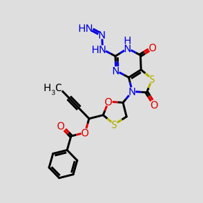 CC#CC(OC(=O)c1ccccc1)C1OC(n2c(=O)sc3c(=O)[nH]c(NN=N)nc32)CS1